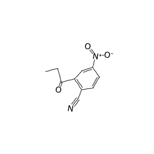 CCC(=O)c1cc([N+](=O)[O-])ccc1C#N